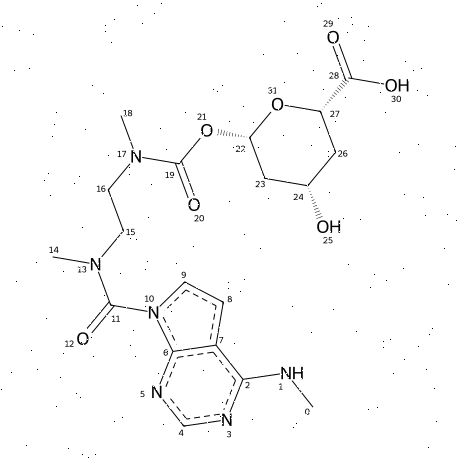 CNc1ncnc2c1ccn2C(=O)N(C)CCN(C)C(=O)O[C@H]1C[C@@H](O)C[C@@H](C(=O)O)O1